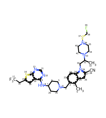 Cc1c(CN2CCC(Nc3ncnc4sc(CC(F)(F)F)cc34)CC2)ccc2c1cc(C#N)n2CC(C)N1CCN(SCF)CC1